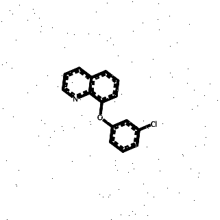 Clc1cccc(Oc2cccc3cccnc23)c1